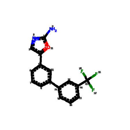 Nc1ncc(-c2cccc(-c3cccc(C(F)(F)F)c3)c2)o1